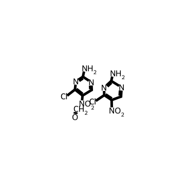 C=O.Nc1ncc([N+](=O)[O-])c(Cl)n1.Nc1ncc([N+](=O)[O-])c(Cl)n1